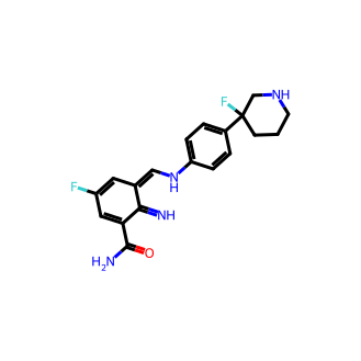 N=C1C(C(N)=O)=CC(F)=C/C1=C/Nc1ccc(C2(F)CCCNC2)cc1